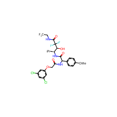 COc1ccc(C(NC(=O)COc2cc(Cl)cc(Cl)c2)C(=O)N[C@@H](C(C)C)C(O)C(F)(F)C(=O)NCC(F)(F)F)cc1